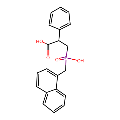 O=C(O)C(CP(=O)(O)Cc1cccc2ccccc12)c1ccccc1